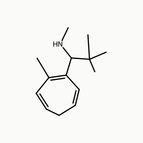 CNC(C1=C(C)C=CCC=C1)C(C)(C)C